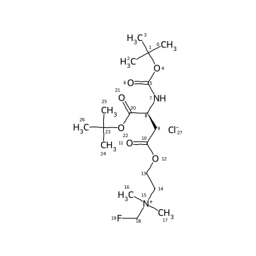 CC(C)(C)OC(=O)N[C@@H](CC(=O)OCC[N+](C)(C)CF)C(=O)OC(C)(C)C.[Cl-]